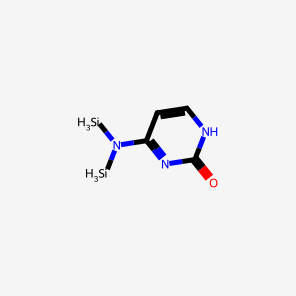 O=c1nc(N([SiH3])[SiH3])cc[nH]1